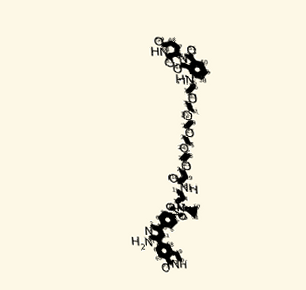 Nc1ncc(-c2ccc(S(=O)(=O)N(CCCNC(=O)CCOCCOCCOCCOCCOCCNc3cccc4c3C(=O)N(C3CCC(=O)NC3=O)C4=O)C3CC3)cc2)cc1-c1ccc2c(c1)CCNC2=O